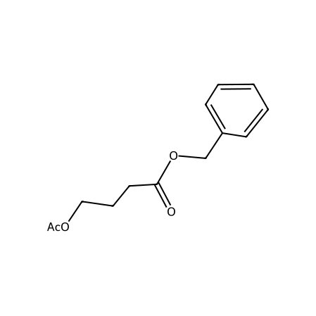 CC(=O)OCCCC(=O)OCc1ccccc1